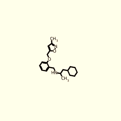 Cc1cc(COc2ccccc2CNC(C)CC2CCCCC2)on1